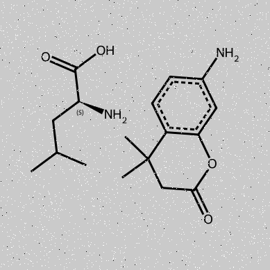 CC(C)C[C@H](N)C(=O)O.CC1(C)CC(=O)Oc2cc(N)ccc21